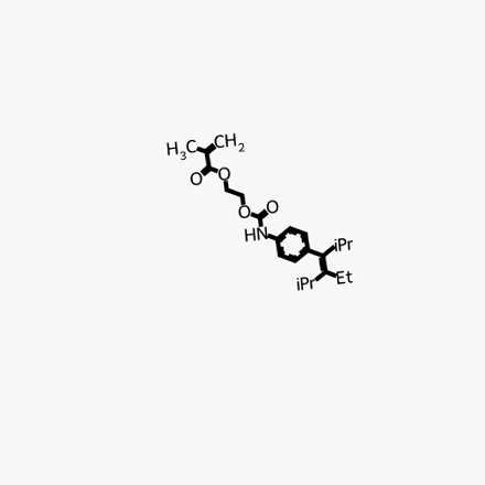 C=C(C)C(=O)OCCOC(=O)Nc1ccc(/C(=C(/CC)C(C)C)C(C)C)cc1